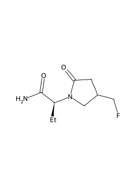 CC[C@@H](C(N)=O)N1CC(CF)CC1=O